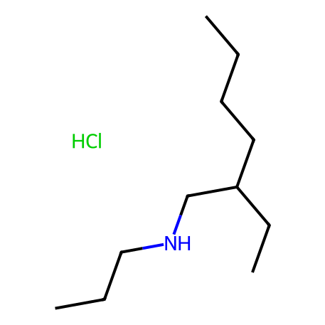 CCCCC(CC)CNCCC.Cl